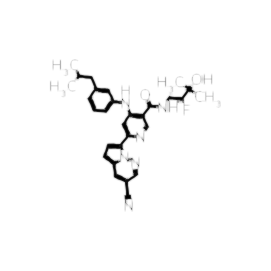 CC(C)Cc1cccc(Nc2cc(-c3ccc4cc(C#N)cnn34)ncc2C(=O)NC[C@@H](F)C(C)(C)O)c1